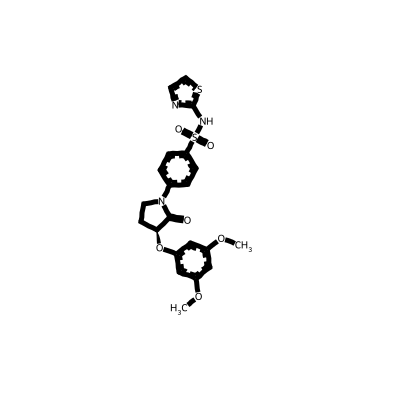 COc1cc(OC)cc(O[C@H]2CCN(c3ccc(S(=O)(=O)Nc4nccs4)cc3)C2=O)c1